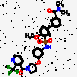 COc1ccc(-c2cccc(C(=O)N(C)C)c2)cc1S(=O)(=O)Nc1cccc(O[C@H]2CCN(C(=O)c3cccnc3C(F)(F)F)C2)c1